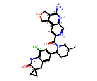 C[C@H]1CCC(c2cc(Cl)c3c(c2)CC2(CC2)C(=O)N3)N(C(=O)c2cc3c4c(c(N)nc3cn2)COC4)C1